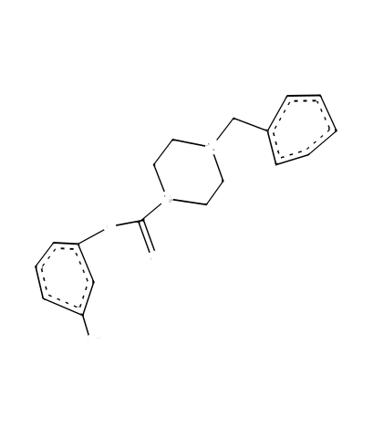 O=C(Cc1cccc(C(F)(F)F)c1)N1CCN(Cc2ccccc2)CC1